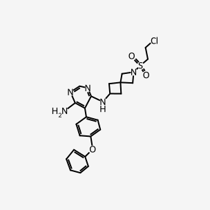 Nc1ncnc(NC2CC3(C2)CN(S(=O)(=O)CCCl)C3)c1-c1ccc(Oc2ccccc2)cc1